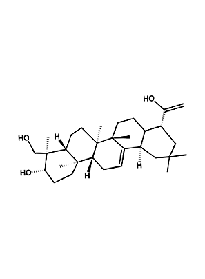 C=C(O)[C@@H]1CC(C)(C)C[C@H]2C3=CC[C@@H]4[C@@]5(C)CC[C@H](O)[C@@](C)(CO)[C@@H]5CC[C@@]4(C)[C@]3(C)CCC12